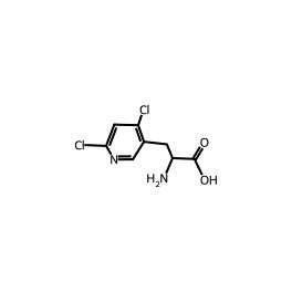 NC(Cc1cnc(Cl)cc1Cl)C(=O)O